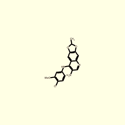 COc1cc(Nc2c(N)cnc3cc4c(cc23)OC(C)O4)ccc1Cl